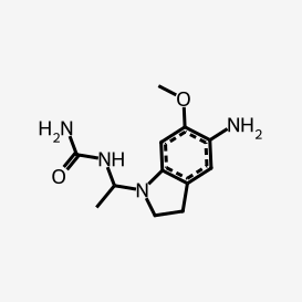 COc1cc2c(cc1N)CCN2C(C)NC(N)=O